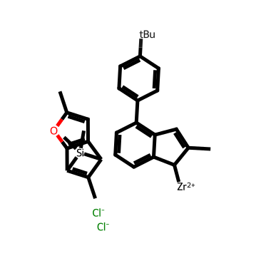 CC1=C2c3oc(C)cc3C1[Si]2(C)C.CC1=Cc2c(-c3ccc(C(C)(C)C)cc3)cccc2[CH]1[Zr+2].[Cl-].[Cl-]